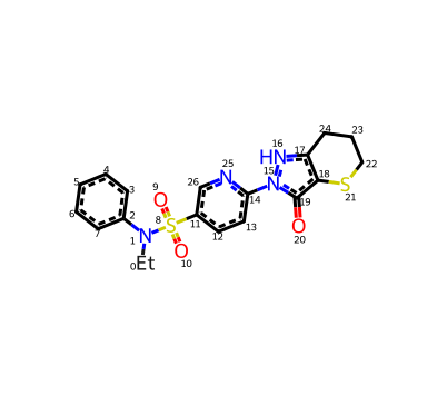 CCN(c1ccccc1)S(=O)(=O)c1ccc(-n2[nH]c3c(c2=O)SCCC3)nc1